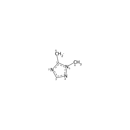 [CH2]c1ncnn1C